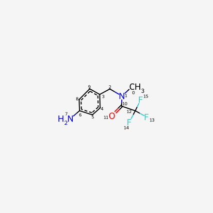 CN(Cc1ccc(N)cc1)C(=O)C(F)(F)F